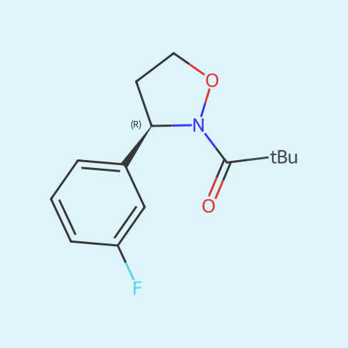 CC(C)(C)C(=O)N1OCC[C@@H]1c1cccc(F)c1